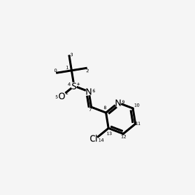 CC(C)(C)[S+]([O-])/N=C/c1ncccc1Cl